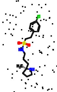 C[C@@]1(CCCNS(=O)(=O)CCc2ccc(Cl)cc2)CCCN1